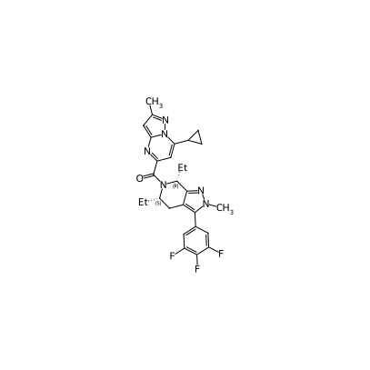 CC[C@H]1Cc2c(nn(C)c2-c2cc(F)c(F)c(F)c2)[C@@H](CC)N1C(=O)c1cc(C2CC2)n2nc(C)cc2n1